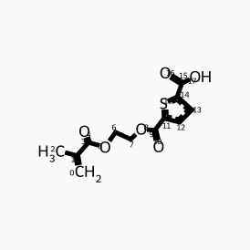 C=C(C)C(=O)OCCOC(=O)c1ccc(C(=O)O)s1